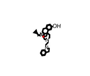 Oc1ccc2c(c1)C13CCN(CCN4CCc5ccccc54)CC[C@@]1(O)C(C2)N(CC1CC1)CC3